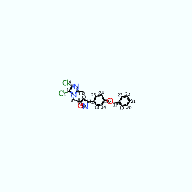 Cc1nc(Cl)c(Cl)n1Cc1cc(-c2ccc(OCc3ccccc3)cc2)no1